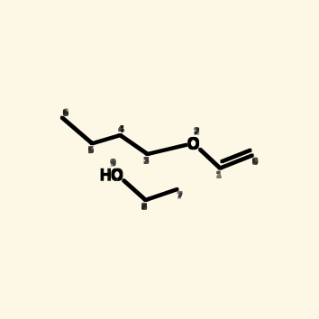 C=COCCCC.CCO